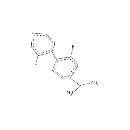 CC(C)c1ccc(-c2ccccc2F)c(F)c1